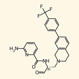 Nc1cccc(C(=O)N[C@@H](C=O)CN2CCc3ccc(-c4ccc(C(F)(F)F)cc4)cc3C2)n1